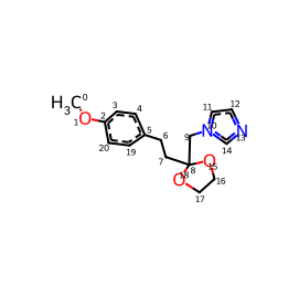 COc1ccc(CCC2(Cn3ccnc3)OCCO2)cc1